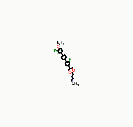 BCOc1ccc(-c2ccc(-c3ccc(C4COC(CC/C=C/C)OC4)cc3F)cc2)c(F)c1F